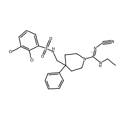 CCN/C(=N\C#N)N1CCC(CNS(=O)(=O)c2cccc(Cl)c2Cl)(c2ccccc2)CC1